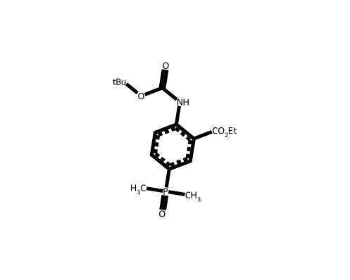 CCOC(=O)c1cc(P(C)(C)=O)ccc1NC(=O)OC(C)(C)C